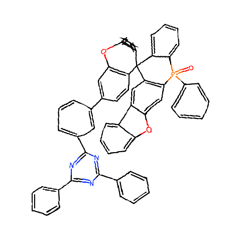 O=P1(c2ccccc2)c2ccccc2C2(c3ccccc3Oc3cc(-c4cccc(-c5nc(-c6ccccc6)nc(-c6ccccc6)n5)c4)ccc32)c2cc3c(cc21)oc1ccccc13